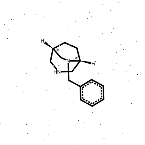 c1ccc(CN2C[C@H]3CC[C@@H]2CNC3)cc1